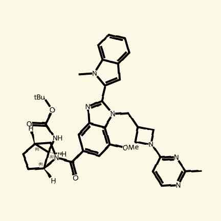 COc1cc(C(=O)N2C[C@H]3CC[C@@H]2[C@@H]3NC(=O)OC(C)(C)C)cc2nc(-c3cc4ccccc4n3C)n(CC3CN(c4ccnc(C)n4)C3)c12